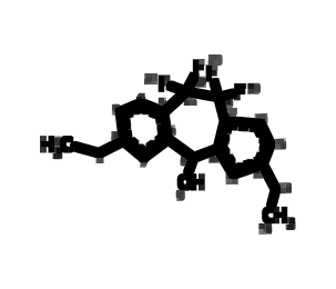 CCc1ccc2c(c1)C(O)c1cc(CC)ccc1C(F)(F)C2(F)F